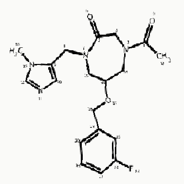 CC(=O)N1CC(=O)N(Cc2cncn2C)CC(OCc2cccc(F)c2)C1